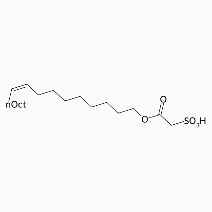 CCCCCCCC/C=C\CCCCCCCCOC(=O)CS(=O)(=O)O